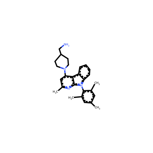 Cc1cc(C)c(-n2c3ccccc3c3c(N4CCC(CN)CC4)cc(C)nc32)c(C)c1